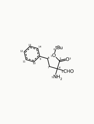 CC(C)(C)OC(=O)C(N)(C=O)CCc1ccccc1